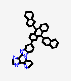 c1ccc2cc(-c3c4ccccc4c(-c4ccc5ccccc5c4)c4cc(-c5ccc6c(c5)nc5c7nccnc7c7ncccc7n65)ccc34)ccc2c1